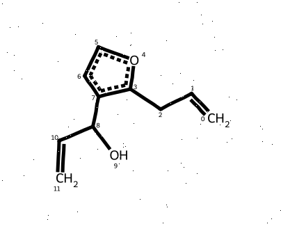 C=CCc1occc1C(O)C=C